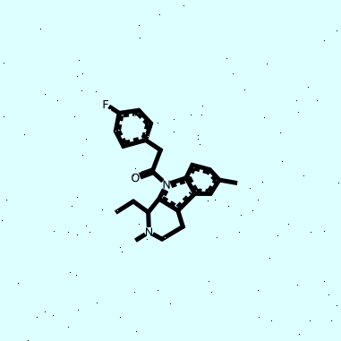 CCC1c2c(c3cc(C)ccc3n2C(=O)Cc2ccc(F)cc2)CCN1C